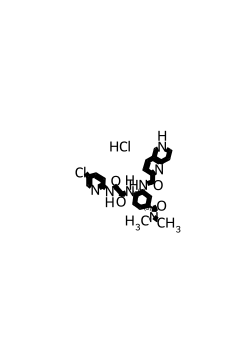 CN(C)C(=O)[C@H]1CC[C@H](NC(=O)C(=O)Nc2ccc(Cl)cn2)[C@H](NC(=O)c2ccc3c(n2)CCNC3)C1.Cl